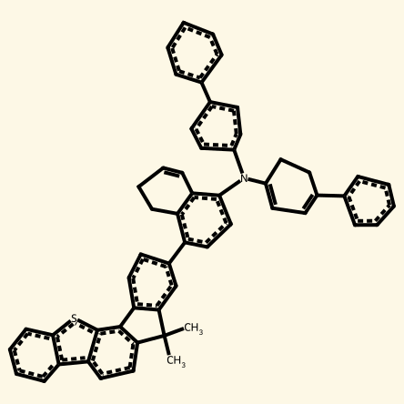 CC1(C)c2cc(-c3ccc(N(C4=CC=C(c5ccccc5)CC4)c4ccc(-c5ccccc5)cc4)c4c3CCC=C4)ccc2-c2c1ccc1c2sc2ccccc21